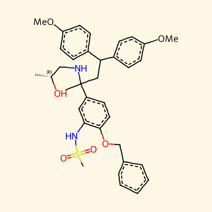 COc1ccc(C(CC(C)(NC[C@@H](C)O)c2ccc(OCc3ccccc3)c(NS(C)(=O)=O)c2)c2ccc(OC)cc2)cc1